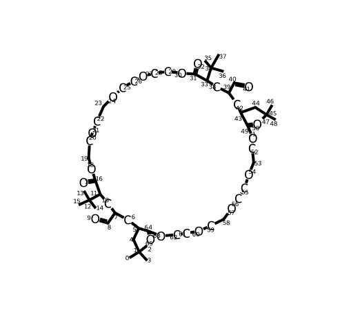 CC(C)(C)CC1CC(C=O)CC(C(C)(C)C)C(=O)OCCOCCOCCOCCOC(=O)C(C(C)(C)C)CC(C=O)CC(CC(C)(C)C)C(=O)OCCOCCOCCOCCOC1=O